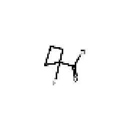 O=C(Cl)C1(F)CCC1